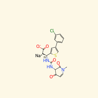 CN1C=CC(=O)C(NC(=O)N[C@@H](CC(=O)[O-])c2cc(-c3cccc(Cl)c3)cs2)C1=O.[Na+]